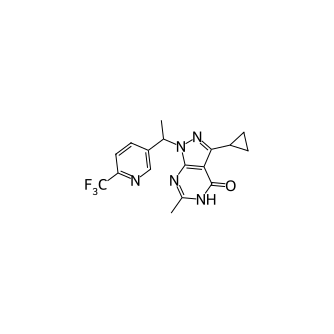 Cc1nc2c(c(C3CC3)nn2C(C)c2ccc(C(F)(F)F)nc2)c(=O)[nH]1